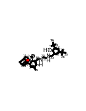 CC1=CC(C23CC4CC(CC(C4)C2)C3)C(N=O)C(CNCCNCC2C=C(C(C)(C)C)C=C(C(C)(C)C)C2O)=C1